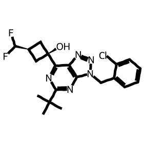 CC(C)(C)c1nc2c(nnn2Cc2ccccc2Cl)c([C@]2(O)C[C@@H](C(F)F)C2)n1